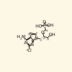 Nc1nc(Cl)nc2c1ncn2C[C@@H](CO)OCP(=O)(O)O